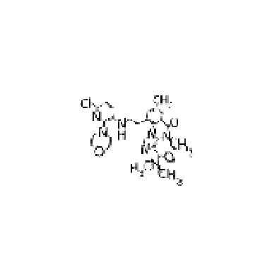 Cc1cc(CCNc2ccc(Cl)nc2N2CCOCC2)c2c(c1)c(=O)n(C)c1c(C(=O)N(C)C)ncn21